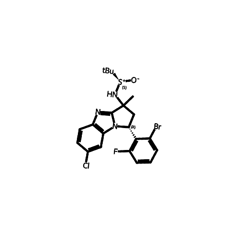 CC1(N[S@+]([O-])C(C)(C)C)C[C@H](c2c(F)cccc2Br)n2c1nc1ccc(Cl)cc12